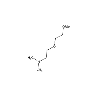 COCCOCCN(C)C